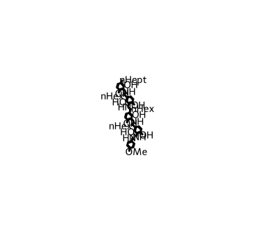 CCCCCCCc1ccc(O)c(NC(CCCCCC)c2ccc(O)c(NC(CCCCCC)c3ccc(O)c(NC(CCCCCC)c4ccc(O)c(NNc5ccc(OC)cc5)c4O)c3O)c2O)c1O